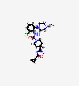 CCC1(c2noc(C3CC3)n2)CCN(C(=O)Nc2c(Cl)cccc2N2CCN(C(C)C)CC2)CC1